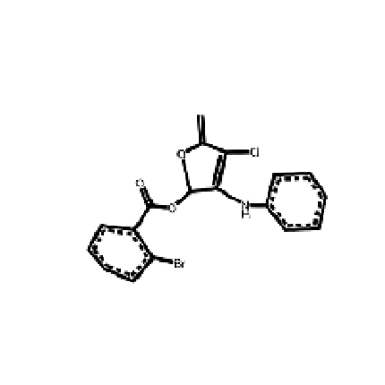 C=C1OC(OC(=O)c2ccccc2Br)C(Nc2ccccc2)=C1Cl